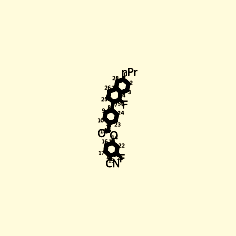 CCCc1ccc2c(F)c(-c3ccc(C(=O)Oc4ccc(C#N)c(F)c4)cc3)ccc2c1